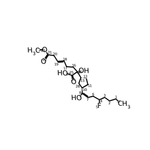 CCCCC(F)C/C=C(/O)[C@@H]1CC[C@@H]([C@](O)(CCC=CCC(=O)OC)C(=O)O)C1